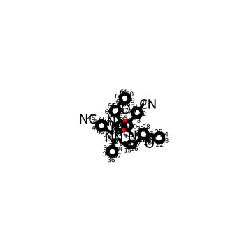 N#Cc1ccc(-c2ccc3c(c2)-n2c4cc(ccc4c4c5oc6ccccc6c5ccc42)-[n+]2c(-c4ccccc4)nc(-c4ccc(C#N)cc4-n4c5ccccc5c5c6oc7ccccc7c6ccc54)nc2-3)cc1